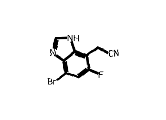 N#CCc1c(F)cc(Br)c2nc[nH]c12